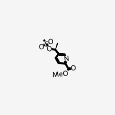 COC(=O)c1ccc([C@H](C)OS(C)(=O)=O)cn1